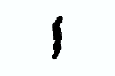 CCCCCOc1ccc(-c2ncc(CCC3CCC(CCCCC)CC3)cn2)cc1